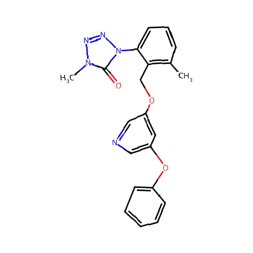 Cc1cccc(-n2nnn(C)c2=O)c1COc1cncc(Oc2ccccc2)c1